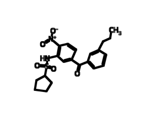 CCCc1cccc(C(=O)c2ccc([N+](=O)[O-])c(NS(=O)(=O)C3CCCC3)c2)c1